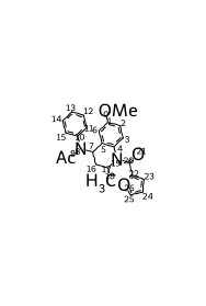 COc1ccc2c(c1)C(N(C(C)=O)c1ccccc1)CC(C)N2C(=O)c1ccco1